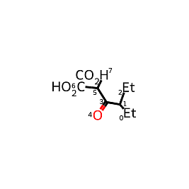 CCC(CC)C(=O)C(C(=O)O)C(=O)O